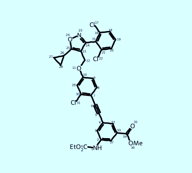 CCOC(=O)Nc1cc(C#Cc2ccc(OCc3c(-c4c(Cl)cccc4Cl)noc3C3CC3)cc2Cl)cc(C(=O)OC)c1